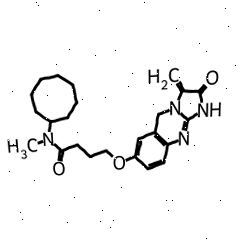 C=c1c(=O)[nH]c2n1Cc1cc(OCCCC(=O)N(C)C3CCCCCCC3)ccc1N=2